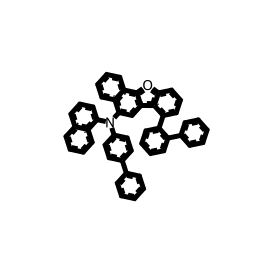 c1ccc(-c2ccc(N(c3cccc4ccccc34)c3cc4c(oc5cccc(-c6ccccc6-c6ccccc6)c54)c4ccccc34)cc2)cc1